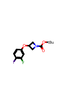 CC(C)(C)OC(=O)N1CC(Oc2ccc(I)c(F)c2)C1